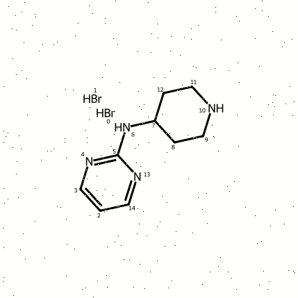 Br.Br.c1cnc(NC2CCNCC2)nc1